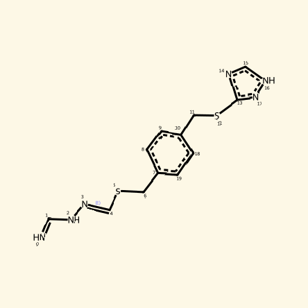 N=CN/N=C/SCc1ccc(CSc2nc[nH]n2)cc1